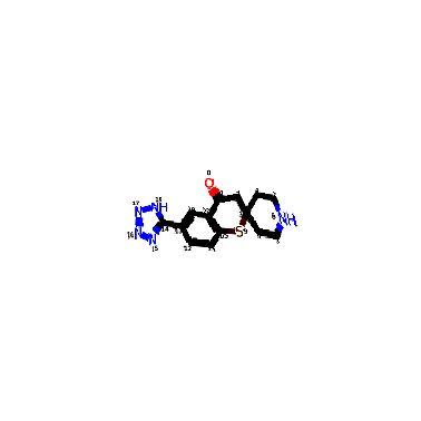 O=C1CC2(CCNCC2)Sc2ccc(-c3nnn[nH]3)cc21